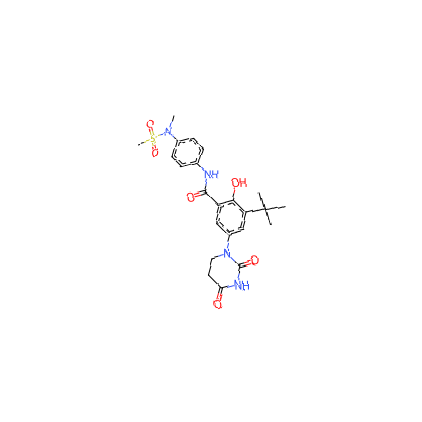 CN(c1ccc(NC(=O)c2cc(N3CCC(=O)NC3=O)cc(C(C)(C)C)c2O)cc1)S(C)(=O)=O